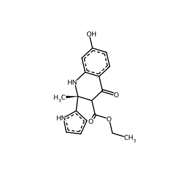 CCOC(=O)C1C(=O)c2ccc(O)cc2N[C@@]1(C)c1ccc[nH]1